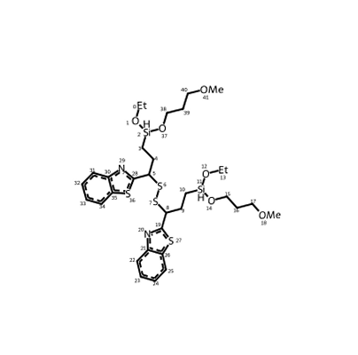 CCO[SiH](CCC(SSC(CC[SiH](OCC)OCCCOC)c1nc2ccccc2s1)c1nc2ccccc2s1)OCCCOC